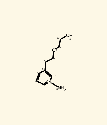 N[n+]1cccc(CCOCCO)c1